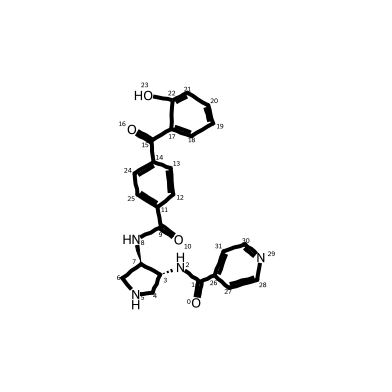 O=C(N[C@@H]1CNC[C@H]1NC(=O)c1ccc(C(=O)c2ccccc2O)cc1)c1ccncc1